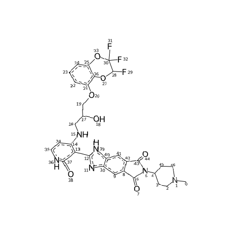 CN1CCC(N2C(=O)c3cc4nc(-c5c(NCC(O)COc6cccc7c6OC(F)C(F)(F)O7)cc[nH]c5=O)[nH]c4cc3C2=O)CC1